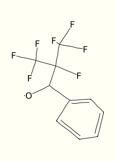 [O]C(c1ccccc1)C(F)(C(F)(F)F)C(F)(F)F